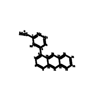 CSc1nncc(-c2cccc3cc4ccccc4cc23)n1